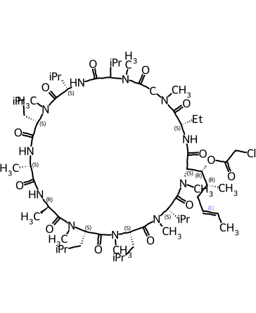 C/C=C/C[C@@H](C)[C@@H](OC(=O)CCl)[C@H]1C(=O)N[C@@H](CC)C(=O)N(C)CC(=O)N(C)C(C(C)C)C(=O)N[C@@H](C(C)C)C(=O)N(C)[C@@H](CC(C)C)C(=O)N[C@@H](C)C(=O)N[C@H](C)C(=O)N(C)[C@@H](CC(C)C)C(=O)N(C)[C@@H](CC(C)C)C(=O)N(C)[C@@H](C(C)C)C(=O)N1C